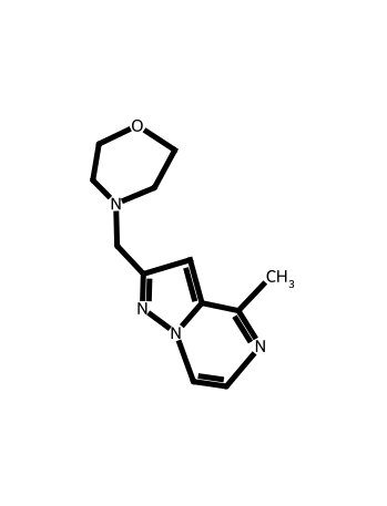 Cc1nccn2nc(CN3CCOCC3)cc12